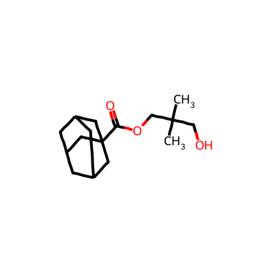 CC(C)(CO)COC(=O)C12CC3CC(CC(C3)C1)C2